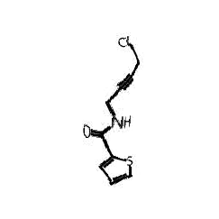 O=C(NCC#CCCl)c1cccs1